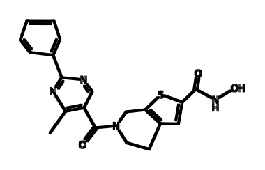 Cc1nc(-c2ccccc2)ncc1C(=O)N1CCc2cc(C(=O)NO)sc2C1